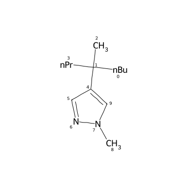 CCCCC(C)(CCC)c1cnn(C)c1